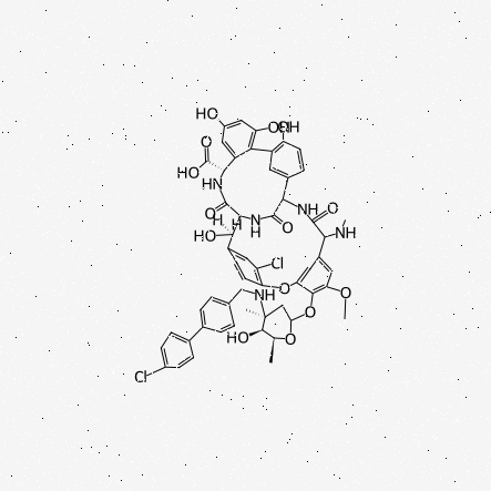 CNC1C(=O)NC2C(=O)N[C@H](C(=O)N[C@H](C(=O)O)c3cc(O)cc(O)c3-c3cc2ccc3O)[C@H](O)c2ccc(c(Cl)c2)Oc2cc1cc(OC)c2OC1C[C@](C)(NCc2ccc(-c3ccc(Cl)cc3)cc2)[C@H](O)[C@H](C)O1